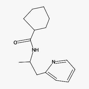 CC(Cc1ccccn1)NC(=O)C1CCCCC1